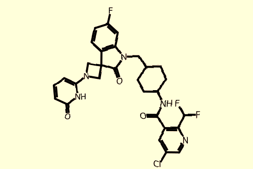 O=C(NC1CCC(CN2C(=O)C3(CN(c4cccc(=O)[nH]4)C3)c3ccc(F)cc32)CC1)c1cc(Cl)cnc1C(F)F